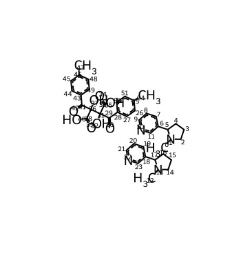 CN1CCCC1c1cccnc1.CN1CCCC1c1cccnc1.Cc1ccc(C(=O)C(O)(C(=O)O)C(O)(C(=O)O)C(=O)c2ccc(C)cc2)cc1